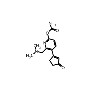 CN(C)Cc1nc(OC(N)=O)ccc1C1=CC(=O)CC1